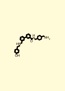 NCC1CCC(CNC(=O)c2cccc(-c3cccc(CNCCc4ccc(O)cc4)c3)c2)CC1